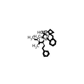 C=C(OCC)[C@H](CCc1ccccc1)N[C@@H](C)C(C)(O)N1Cc2ccccc2CC12CCC2O